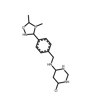 CC1ONC(c2ccc(CNC3CC(Cl)NCN3)cc2)N1C